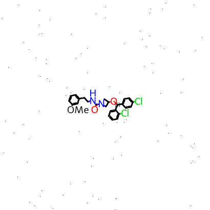 COc1cccc(CCNC(=O)N2CC(O[C@@H](c3ccc(Cl)cc3)c3ccccc3Cl)C2)c1